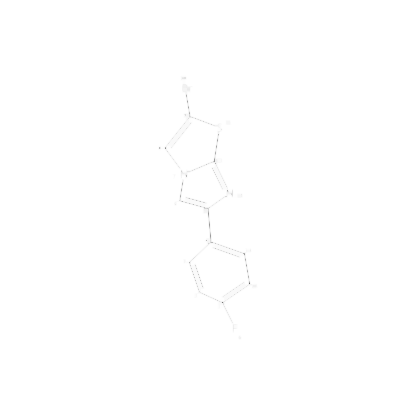 Fc1ccc(-c2cn3cc(Br)sc3n2)cc1